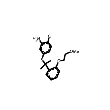 COCCOc1ccccc1C(C)(C)Sc1ccc(Cl)c(N)c1